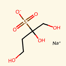 O=S(=O)([O-])C(O)(CO)CCO.[Na+]